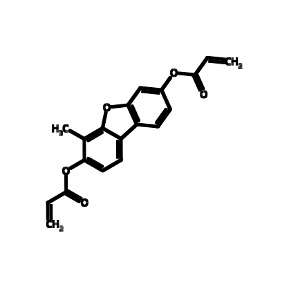 C=CC(=O)Oc1ccc2c(c1)oc1c(C)c(OC(=O)C=C)ccc12